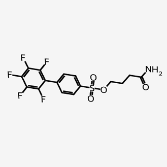 NC(=O)CCCOS(=O)(=O)c1ccc(-c2c(F)c(F)c(F)c(F)c2F)cc1